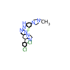 CCN1CCN(c2ccc(Nc3ncc4c(n3)N3CCN=C3C(c3ccc(Cl)cc3Cl)C4)c(F)c2)CC1